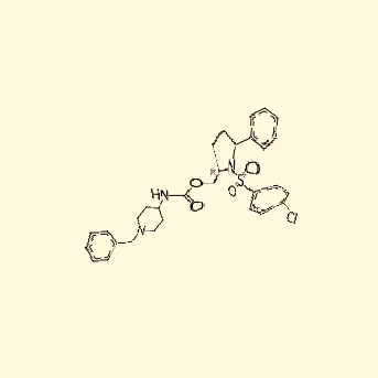 O=C(NC1CCN(Cc2ccccc2)CC1)OC[C@H]1CCC(c2ccccc2)N1S(=O)(=O)c1ccc(Cl)cc1